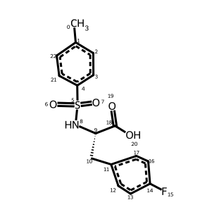 Cc1ccc(S(=O)(=O)N[C@@H](Cc2ccc(F)cc2)C(=O)O)cc1